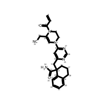 C=CC(=O)N1CCN(c2cc(CC3(C(N)=O)CCCc4ccccc43)ncn2)C=C1CC#N